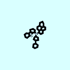 c1ccc(-c2ccc(N(c3ccc4ccc5cccc6ccc3c4c56)c3cccc4c3sc3ccccc34)cc2)cc1